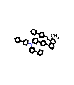 CC1=C(CCc2ccc(C3=CCCC=C3)cc2)c2c(cccc2-c2ccc(-c3cccc(N(C4=CC=C(c5ccccc5)CC4)c4cccc(-c5ccccc5)c4)c3)cc2)CC1